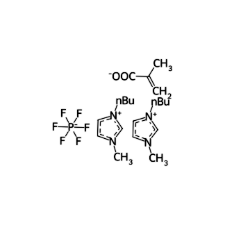 C=C(C)C(=O)[O-].CCCC[n+]1ccn(C)c1.CCCC[n+]1ccn(C)c1.F[P-](F)(F)(F)(F)F